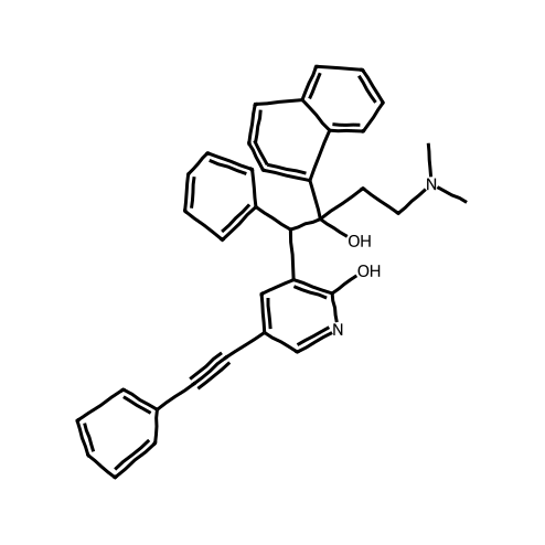 CN(C)CCC(O)(C1=C=C=Cc2ccccc21)C(c1ccccc1)c1cc(C#Cc2ccccc2)cnc1O